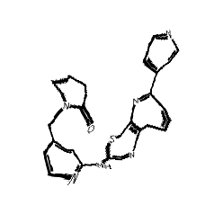 O=C1CCCN1Cc1ccnc(Nc2nc3ccc(-c4ccncc4)nc3s2)c1